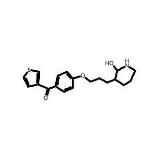 O=C(c1ccc(OCCCC2CCCNC2O)cc1)c1ccsc1